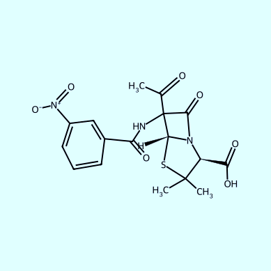 CC(=O)C1(NC(=O)c2cccc([N+](=O)[O-])c2)C(=O)N2[C@@H](C(=O)O)C(C)(C)S[C@@H]21